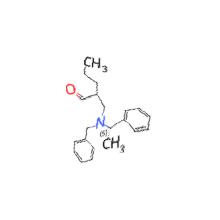 CCCC(C=O)CN(Cc1ccccc1)[C@@H](C)c1ccccc1